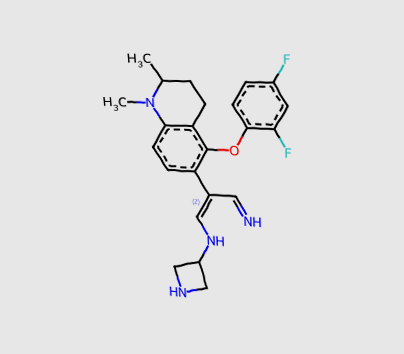 CC1CCc2c(ccc(/C(C=N)=C/NC3CNC3)c2Oc2ccc(F)cc2F)N1C